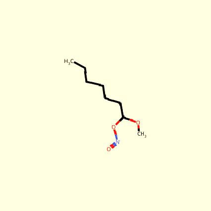 CCCCCCC(OC)ON=O